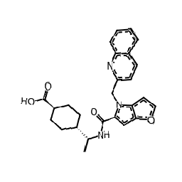 CC(NC(=O)c1cc2occc2n1Cc1ccc2ccccc2n1)[C@H]1CC[C@H](C(=O)O)CC1